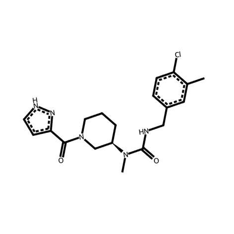 Cc1cc(CNC(=O)N(C)[C@@H]2CCCN(C(=O)c3cc[nH]n3)C2)ccc1Cl